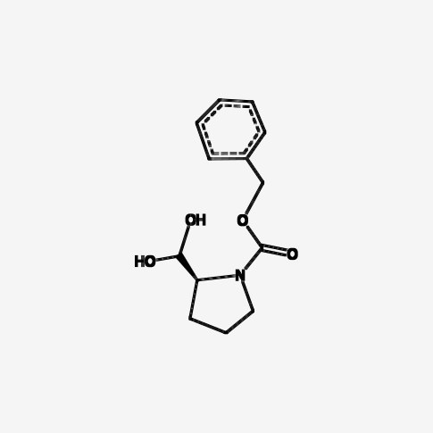 O=C(OCc1ccccc1)N1CCC[C@H]1C(O)O